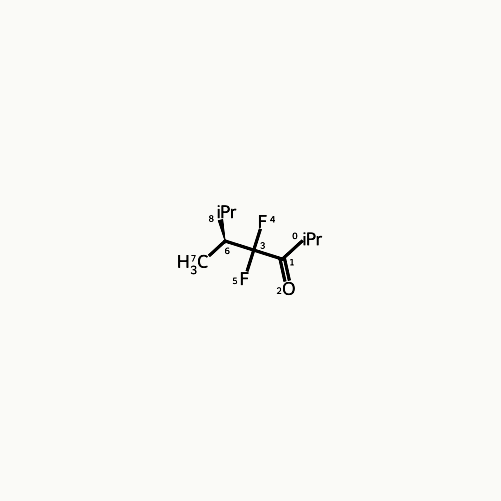 CC(C)C(=O)C(F)(F)[C@@H](C)C(C)C